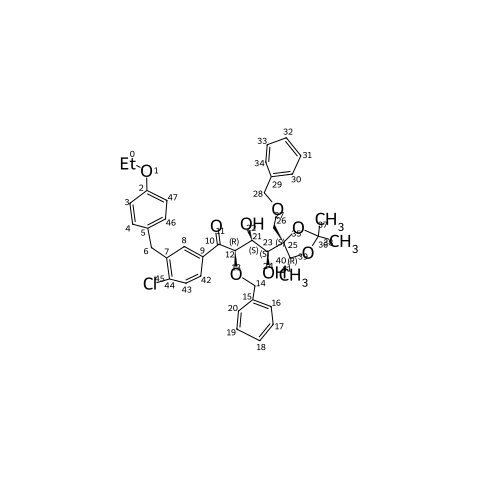 CCOc1ccc(Cc2cc(C(=O)[C@H](OCc3ccccc3)[C@@H](O)[C@H](O)[C@]3(COCc4ccccc4)OC(C)(C)O[C@@H]3C)ccc2Cl)cc1